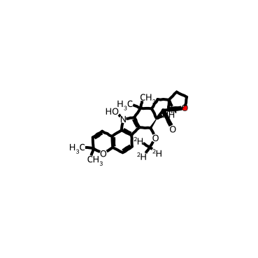 [2H]C([2H])([2H])OC1c2c(n(O)c3c4c(ccc23)OC(C)(C)C=C4)C(C)(C)C2CC34CCCN3C(=O)[C@@]12NC4=O